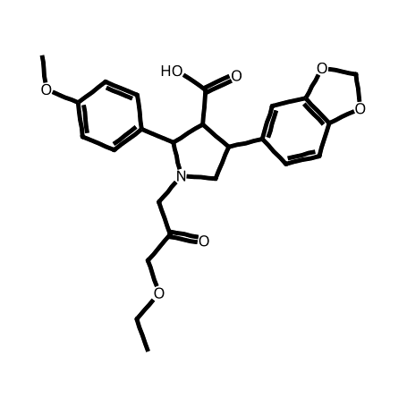 CCOCC(=O)CN1CC(c2ccc3c(c2)OCO3)C(C(=O)O)C1c1ccc(OC)cc1